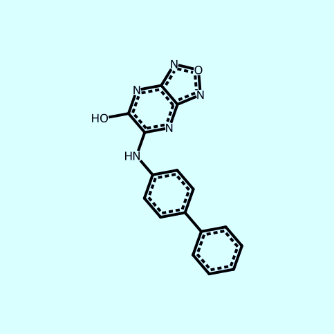 Oc1nc2nonc2nc1Nc1ccc(-c2ccccc2)cc1